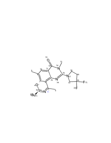 C/C(=N/[S@+]([O-])C(C)(C)C)c1cc(C)cc2c(=O)n(C)c(N3CCC(F)(F)C3)nc12